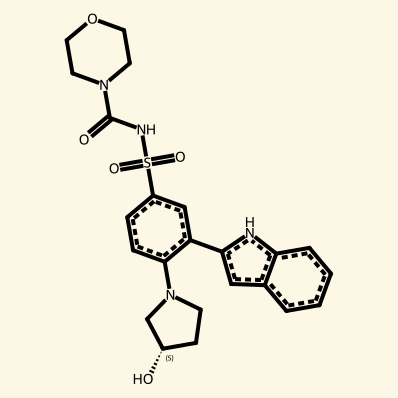 O=C(NS(=O)(=O)c1ccc(N2CC[C@H](O)C2)c(-c2cc3ccccc3[nH]2)c1)N1CCOCC1